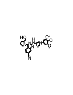 COc1cc(-n2cnc(Nc3nc(N4CCCC4CO)c4ccc(C#N)cc4n3)c2)cc(OC)c1OC